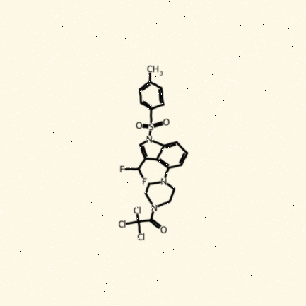 Cc1ccc(S(=O)(=O)n2cc(C(F)F)c3c(N4CCN(C(=O)C(Cl)(Cl)Cl)CC4)cccc32)cc1